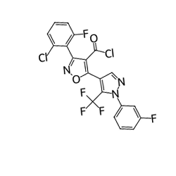 O=C(Cl)c1c(-c2c(F)cccc2Cl)noc1-c1cnn(-c2cccc(F)c2)c1C(F)(F)F